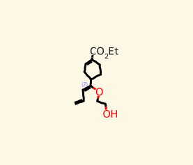 C=C/C=C(\OCCO)C1CC=C(C(=O)OCC)CC1